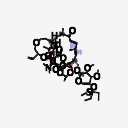 C=CC1COCC[C@H]2C[C@@H](C)C(=O)/C=C/C(C)=C/[C@H](CO[C@@H]3OC=C(O[Si](CC)(CC)CC)C(OC)C3OC)[C@@H](C)OC(=O)C[C@@H](O1)[C@H](C)[C@H]2O[C@@H]1OC(C)[C@@H](OC(C)=O)C(N(C)C)C1OC(C)=O